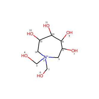 OC[N+]1(CO)CC(O)C(O)C(O)C(O)C1